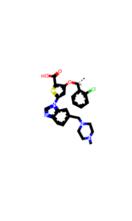 C[C@@H](Oc1cc(-n2cnc3ccc(CN4CCN(C)CC4)cc32)sc1C(=O)O)c1ccccc1Cl